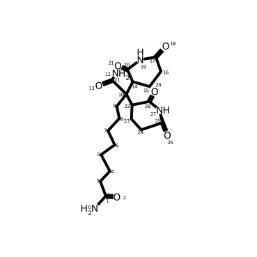 NC(=O)CCCCCCCC(C(N)=O)(C1CCC(=O)NC1=O)C1CCC(=O)NC1=O